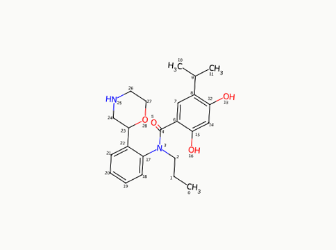 CCCN(C(=O)c1cc(C(C)C)c(O)cc1O)c1ccccc1C1CNCCO1